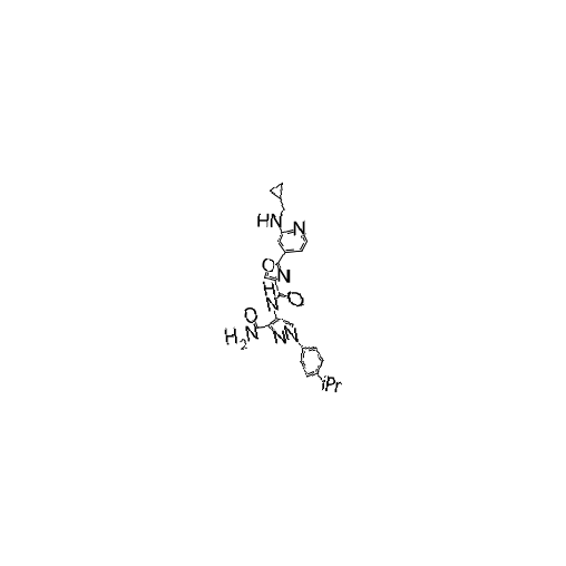 CC(C)c1ccc(-n2cc(NC(=O)c3coc(-c4ccnc(NCC5CC5)c4)n3)c(C(N)=O)n2)cc1